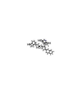 C[C@@H]1C[C@@H](c2ccc3ccccc3c2)CCN1C[C@H](O)COc1cccc2[nH]ccc12.O=C(O)/C=C\C(=O)O